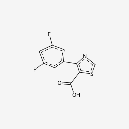 O=C(O)c1scnc1-c1cc(F)cc(F)c1